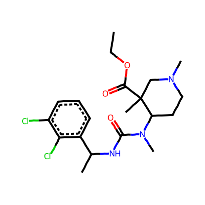 CCOC(=O)C1(C)CN(C)CCC1N(C)C(=O)NC(C)c1cccc(Cl)c1Cl